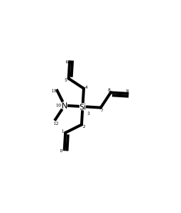 C=CC[Si](CC=C)(CC=C)N(C)C